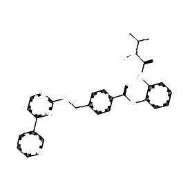 CC(C)[C@H](N)C(=O)Nc1ccccc1NC(=O)c1ccc(CNc2nccc(-c3cccnc3)n2)cc1